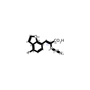 [N-]=[N+]=N/C(=C\c1ccc(F)c2ccoc12)C(=O)O